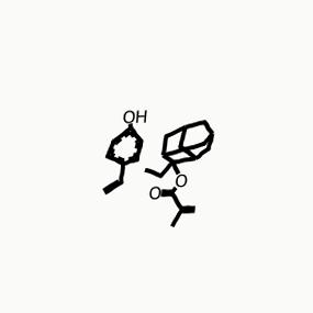 C=C(C)C(=O)OC1(CC)C2CC3CC(C2)CC1C3.C=Cc1ccc(O)cc1